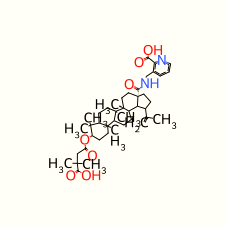 C=C(C)C1CC[C@]2(C(=O)NCc3cccnc3C(=O)O)CC[C@]3(C)C(CCC4C5(C)CCC(OC(=O)CC(C)(C)C(=O)O)C(C)(C)C5CCC43C)C12